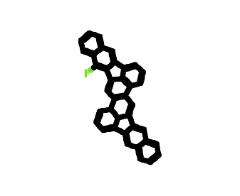 Fc1c2c(cc3ccccc13)-c1cccc3c4c(cc-2c13)C1C=CC=C2c3cc5ccccc5cc3C(=C4)C21